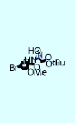 COc1cc(Br)cnc1C(=O)N/C(CC(=O)OC(C)(C)C)=N\O